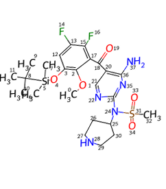 COc1c(O[Si](C)(C)C(C)(C)C)cc(F)c(F)c1C(=O)c1cnc(N(C2CCNCC2)S(C)(=O)=O)nc1N